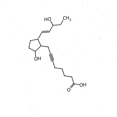 CCC(O)/C=C/C1CCC(O)C1CC#CCCCCC(=O)O